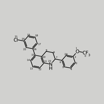 FC(F)(F)Oc1cccc(C2CCc3c(cccc3-c3cccc(Cl)c3)N2)c1